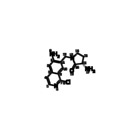 Nc1cc2ccnc(Cl)c2cc1CN1CC[C@H](N)C1=O